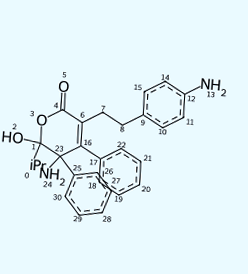 CC(C)C1(O)OC(=O)C(CCc2ccc(N)cc2)=C(c2ccccc2)C1(N)c1ccccc1